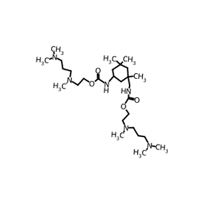 CN(C)CCCN(C)CCOC(=O)NCC1(C)CC(NC(=O)OCCN(C)CCCN(C)C)CC(C)(C)C1